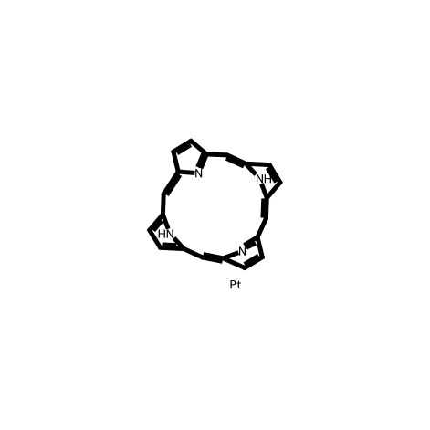 C1=Cc2cc3ccc(cc4nc(cc5ccc(cc1n2)[nH]5)C=C4)[nH]3.[Pt]